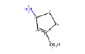 NC1C=C(C(=O)O)CC1